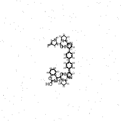 CN1C[C@H](F)C[C@H]1C(=O)N1CCC[C@H]1c1ncc(-c2ccc(-c3ccc(-c4cnc([C@@H]5CCCN5C(=O)[C@H](NC(=O)O)c5ccccc5)[nH]4)cc3)cc2)[nH]1